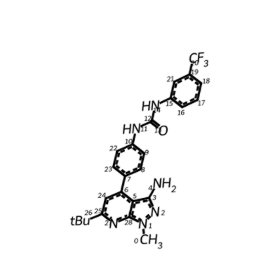 Cn1nc(N)c2c(-c3ccc(NC(=O)Nc4cccc(C(F)(F)F)c4)cc3)cc(C(C)(C)C)nc21